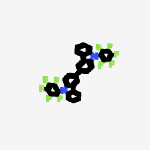 Fc1c(F)c(F)c(-n2c3ccccc3c3cc(-c4ccc5c(c4)c4ccccc4n5-c4c(F)c(F)c(F)c(F)c4F)ccc32)c(F)c1F